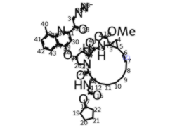 COC(=O)[C@@]12CC1/C=C\CCCCC[C@H](NC(=O)OC1CCCC1)C(=O)N1C[C@H](Oc3cc(C(=O)C=[N+]=[N-])nc4c(C)cccc34)C[C@H]1C(=O)N2